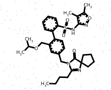 CCCCC1=NC2(CCCC2)C(=O)N1Cc1ccc(-c2ccccc2S(=O)(=O)Nc2noc(C)c2C)c(COC(C)C)c1